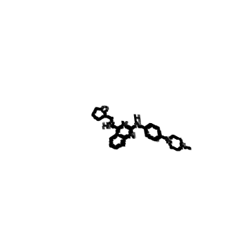 CN1CCN(c2ccc(Nc3nc(NCC4CCCO4)c4ccccc4n3)cc2)CC1